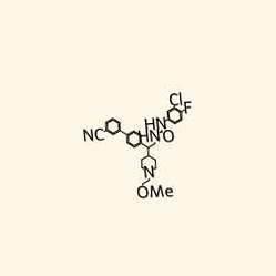 COCCN1CCC(C(CNC(=O)Nc2ccc(F)c(Cl)c2)c2ccc(-c3cccc(C#N)c3)cc2)CC1